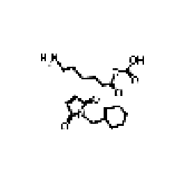 NCCCCCC(=O)OC(=O)O.O=C1C=CC(=O)N1CC1CCCCC1